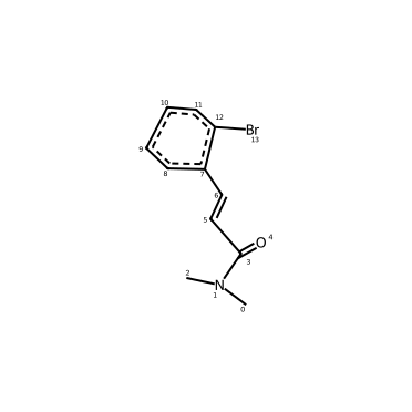 CN(C)C(=O)C=Cc1ccccc1Br